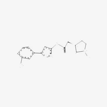 N#Cc1cccc(-c2cc(NC(=O)C[C@H]3CCN(C#N)C3)no2)c1